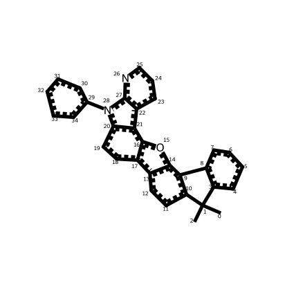 CC1(C)c2ccccc2-c2c1ccc1c2oc2c1ccc1c2c2cccnc2n1-c1ccccc1